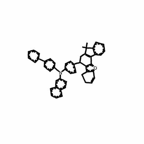 CC1(C)C2=C(c3ccccc31)c1oc3c(c1C(c1ccc(N(c4ccc(-c5ccccc5)cc4)c4ccc5ccccc5c4)cc1)C2)CCC=C3